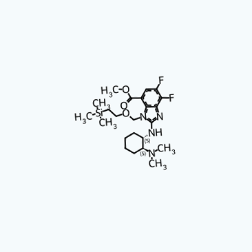 COC(=O)c1cc(F)c(F)c2nc(N[C@H]3CCCC[C@@H]3N(C)C)n(COCC[Si](C)(C)C)c12